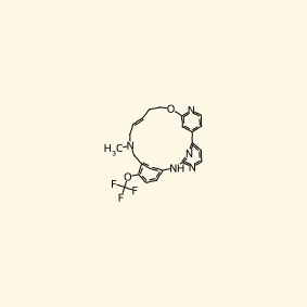 CN1C/C=C/CCOc2cc(ccn2)-c2ccnc(n2)Nc2ccc(OC(F)(F)F)c(c2)C1